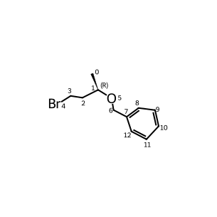 C[C@H](CCBr)OCc1ccccc1